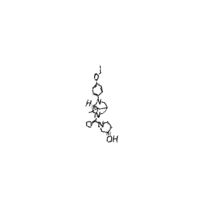 CCOc1ccc(N2CC3CN(C(=O)N4CC[C@H](O)C4)C[C@@H]2C(C)(C)C3)cc1